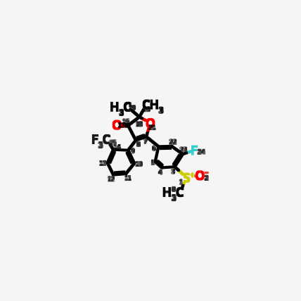 C[S+]([O-])c1ccc(C2=C(c3ccccc3C(F)(F)F)C(=O)C(C)(C)O2)cc1F